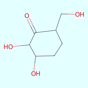 O=C1C(CO)CCC(O)C1O